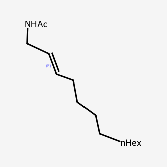 CCCCCCCCCC/C=C/CNC(C)=O